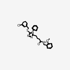 COc1ccccc1CNC(=O)CCCc1nnc(SCC2=CCCC(Cl)=C2)n1-c1ccccc1